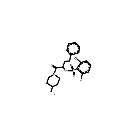 CC1CCN(C(=O)C(CCc2ccccc2)NS(=O)(=O)c2c(Cl)cccc2Cl)CC1